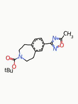 Cc1nc(-c2ccc3c(c2)CCN(C(=O)OC(C)(C)C)CC3)no1